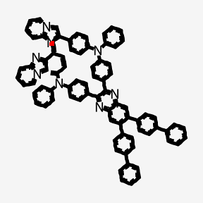 C=C(/C=C\C(=C/C)c1cn2ccccc2n1)N(c1ccccc1)c1ccc(-c2nc3cc(-c4ccc(-c5ccccc5)cc4)c(-c4ccc(-c5ccccc5)cc4)cc3nc2-c2ccc(N(c3ccccc3)c3ccc(-c4cn5ccccc5n4)cc3)cc2)cc1